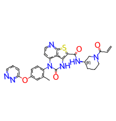 C=CC(=O)N1CCC[C@@H](NC(=O)c2sc3nccc4c3c2NC(=O)N4c2ccc(Oc3cccnn3)cc2C)C1